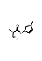 C[C@H](N)C(=O)ON1C=CN(C)C1